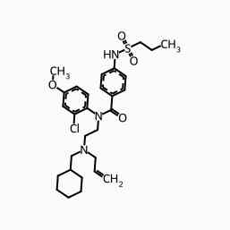 C=CCN(CCN(C(=O)c1ccc(NS(=O)(=O)CCC)cc1)c1ccc(OC)cc1Cl)CC1CCCCC1